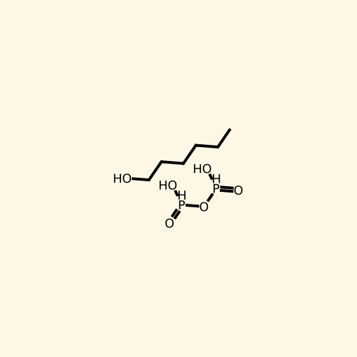 CCCCCCO.O=[PH](O)O[PH](=O)O